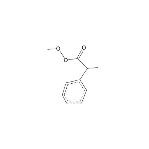 COOC(=O)C(C)c1ccccc1